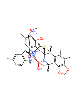 COc1c(C)cc2c(c1O)[C@H]1[C@@H]3[C@@H]4SC[C@]5(N[C@H](CN)Cc6c5[nH]c5ccc(C)cc65)C(=O)OC[C@@H](c5c6c(c(C)c(C)c54)OCO6)N3[C@@H](O)[C@@H](C2)N1C